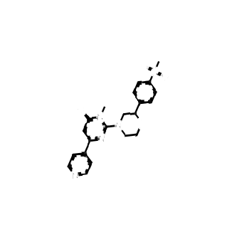 Cn1c(N2CCOC(c3ccc(S(C)(=O)=O)cc3)C2)nc(-c2ccncc2)cc1=O